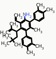 C=Cc1c(N)c(-c2ccc(C)c(C)c2)c(C)c(-c2ccc(C)c(C)c2)c1C(CC(C)(C)C)C(=C)C